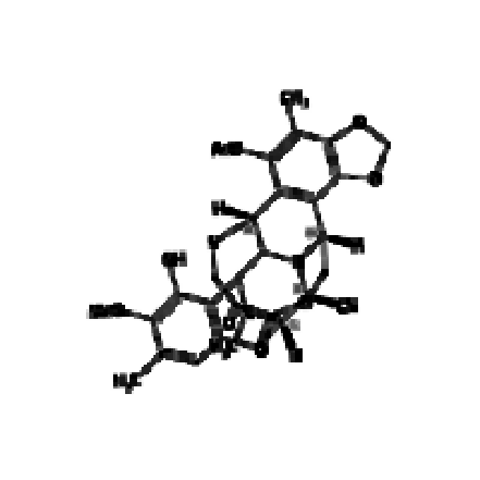 COc1c(C)cc2c(c1O)C1C3[C@@H]4SCC(=O)C(=O)OC[C@@H](c5c6c(c(C)c(OC(C)=O)c54)OCO6)N3[C@@H](C#N)[C@H](C2)N1C